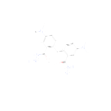 CN(C)c1ccc(Cc2ccc(N(C)C)cc2C(=O)NN)c(C(=O)NN)c1